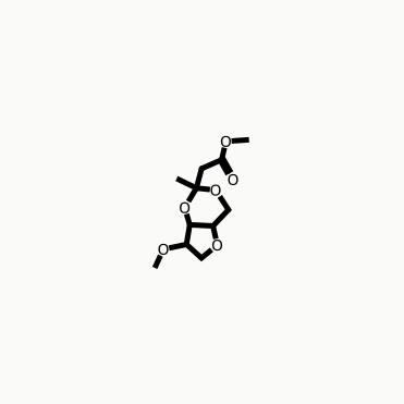 COC(=O)CC1(C)OCC2OCC(OC)C2O1